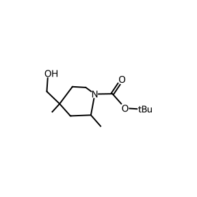 CC1CC(C)(CO)CCN1C(=O)OC(C)(C)C